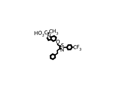 CC(C(=O)O)n1ccc2cc(OCc3sc(-c4ccc(C(F)(F)F)cc4)nc3CCc3ccccc3)ccc21